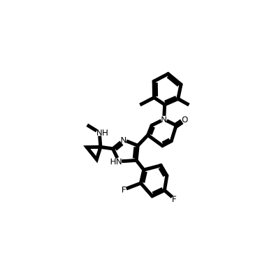 CNC1(c2nc(-c3ccc(=O)n(-c4c(C)cccc4C)c3)c(-c3ccc(F)cc3F)[nH]2)CC1